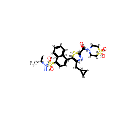 C[C@H](NS(=O)(=O)c1ccc(-c2sc(C(=O)N3CCS(=O)(=O)CC3)nc2CC2CC2)c2ccccc12)C(F)(F)F